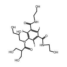 O=C(NCCO)c1c(I)c(C(=O)NCCO)c(I)c(N(CC(O)CO)C(=O)C(CO)CO)c1I